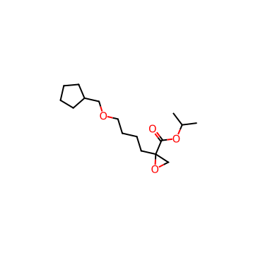 CC(C)OC(=O)C1(CCCCOCC2CCCC2)CO1